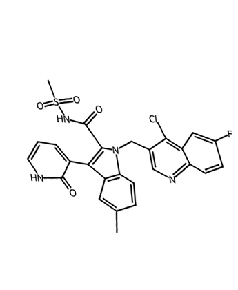 Cc1ccc2c(c1)c(-c1ccc[nH]c1=O)c(C(=O)NS(C)(=O)=O)n2Cc1cnc2ccc(F)cc2c1Cl